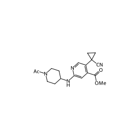 COC(=O)c1cc(NC2CCN(C(C)=O)CC2)ncc1C1(C#N)CC1